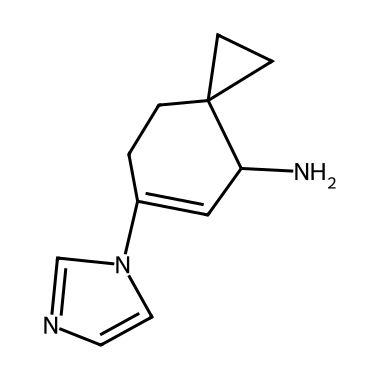 NC1C=C(n2ccnc2)CCC12CC2